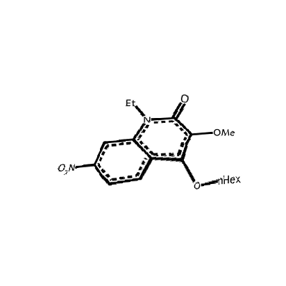 CCCCCCOc1c(OC)c(=O)n(CC)c2cc([N+](=O)[O-])ccc12